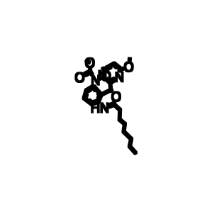 CCCCCCCC(=N)OC(c1nccc(OC)n1)c1ccccc1N(OC)C(=O)OC